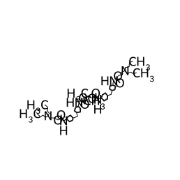 CCCCN(CCCC)CCOC(=O)Nc1ccc(Cc2ccc(NC(=O)OCC(C)(C)OC(=O)Nc3ccc(Cc4ccc(NC(=O)OCCN(CCCC)CCCC)cc4)cc3)cc2)cc1